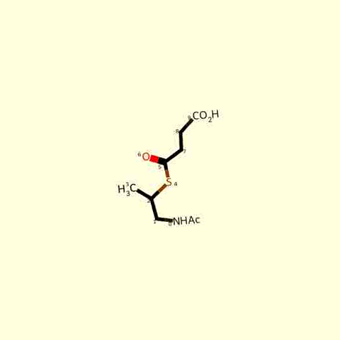 CC(=O)NCC(C)SC(=O)CCC(=O)O